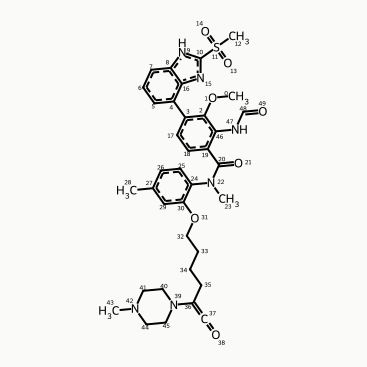 COc1c(-c2cccc3[nH]c(S(C)(=O)=O)nc23)ccc(C(=O)N(C)c2ccc(C)cc2OCCCCC(=C=O)N2CCN(C)CC2)c1NC=O